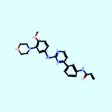 C=CC(=O)Nc1cccc(-c2ccnc(Nc3ccc(OC)c(N4CCOCC4)c3)n2)c1